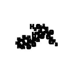 Cc1ccc(C(=O)OCC(F)(F)F)c2oc(CNC(=O)n3ccc4ccncc4c3=O)cc12